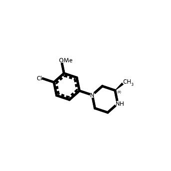 COc1cc(N2CCN[C@H](C)C2)ccc1Cl